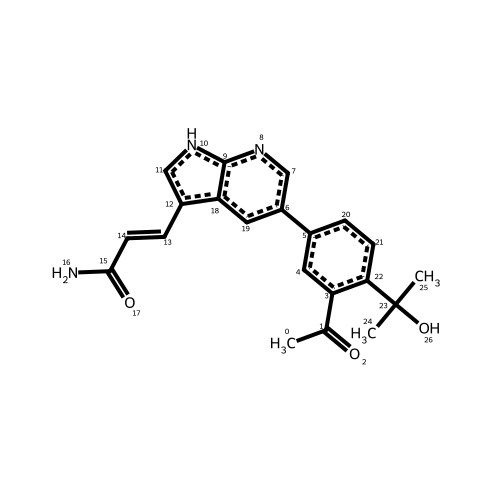 CC(=O)c1cc(-c2cnc3[nH]cc(/C=C/C(N)=O)c3c2)ccc1C(C)(C)O